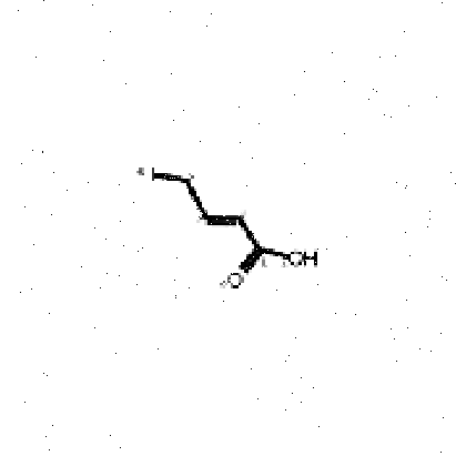 O=C(O)C=CCI